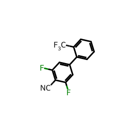 N#Cc1c(F)cc(-c2ccccc2C(F)(F)F)cc1F